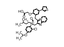 CC(C)CC[N+](C=O)(Cc1nc2ccccn2c1Cc1cc(-c2ccsc2)ccc1OCC(=O)O)c1ccc(OC(C)C)cc1Cl